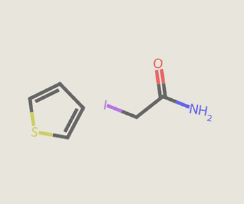 NC(=O)CI.c1ccsc1